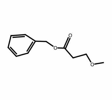 COCCC(=O)OCc1ccccc1